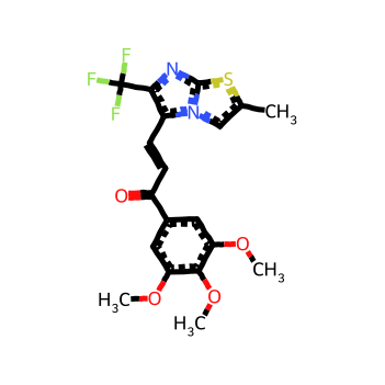 COc1cc(C(=O)C=Cc2c(C(F)(F)F)nc3sc(C)cn23)cc(OC)c1OC